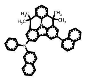 CC1(C)c2cccc3c2-n2c4c1cc(-c1cccc5ccccc15)cc4c1cc(N(c4ccccc4)c4ccc5ccccc5c4)cc(c12)C3(C)C